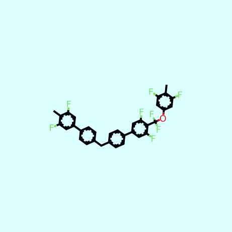 Cc1c(F)cc(OC(F)(F)c2c(F)cc(-c3ccc(Cc4ccc(-c5cc(F)c(C)c(F)c5)cc4)cc3)cc2F)cc1F